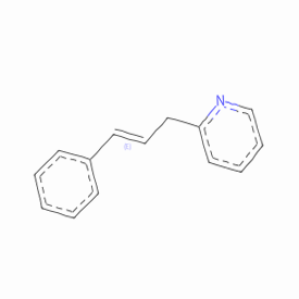 C(=C\c1ccccc1)/Cc1ccccn1